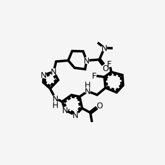 CC(=O)c1nnc(Nc2cnn(CC3CCN(C(=O)N(C)C)CC3)c2)cc1NCc1cccc(F)c1F